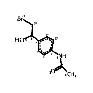 CC(=O)Nc1ccc(C(O)CBr)cc1